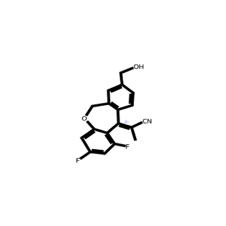 C/C(C#N)=C1/c2ccc(CO)cc2COc2cc(F)cc(F)c21